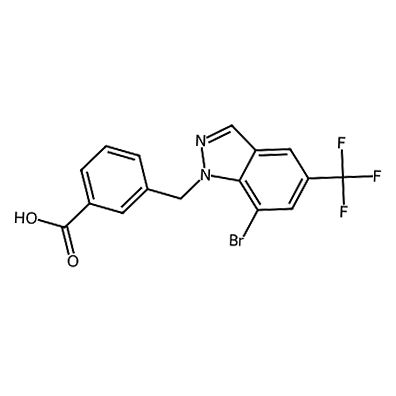 O=C(O)c1cccc(Cn2ncc3cc(C(F)(F)F)cc(Br)c32)c1